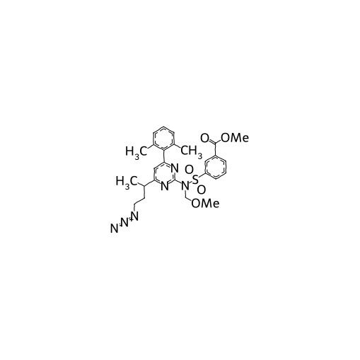 COCN(c1nc(-c2c(C)cccc2C)cc(C(C)CCN=[N+]=[N-])n1)S(=O)(=O)c1cccc(C(=O)OC)c1